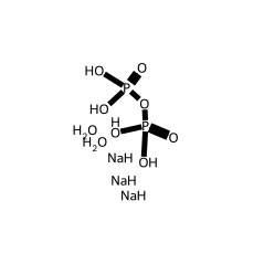 O.O.O=P(O)(O)OP(=O)(O)O.[NaH].[NaH].[NaH]